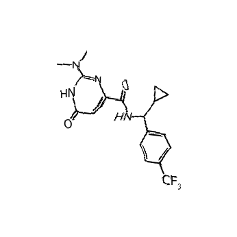 CN(C)c1nc(C(=O)NC(c2ccc(C(F)(F)F)cc2)C2CC2)cc(=O)[nH]1